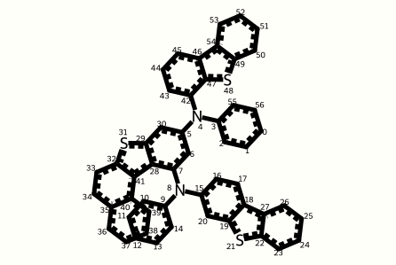 c1ccc(N(c2cc(N(c3ccccc3)c3ccc4c(c3)sc3ccccc34)c3c(c2)sc2ccc4ccccc4c23)c2cccc3c2sc2ccccc23)cc1